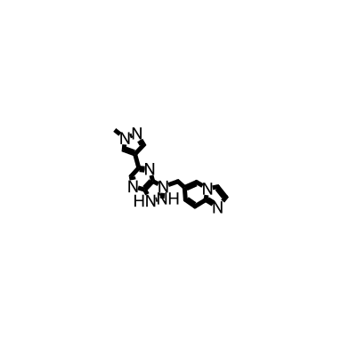 Cn1cc(-c2cnc3c(n2)N(Cc2ccc4nccn4c2)NN3)cn1